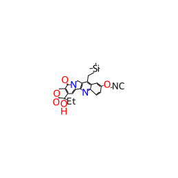 [C-]#[N+]COc1ccc2nc3c(c(CC[Si](C)(C)C)c2c1)Cn1c-3cc2c(c1=O)COC(=O)[C@]2(O)CC